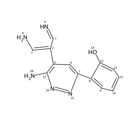 N=C/C(=C\N)c1cc(-c2ccccc2O)nnc1N